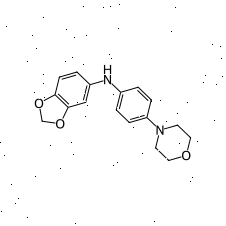 c1cc(N2CCOCC2)ccc1Nc1ccc2c(c1)OCO2